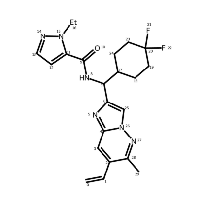 C=Cc1cc2nc(C(NC(=O)c3ccnn3CC)C3CCC(F)(F)CC3)cn2nc1C